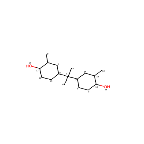 CC1CC(C(C)(C)C2CCC(O)C(C)C2)CCC1O